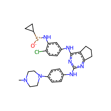 CN1CCN(c2ccc(Nc3nc4c(c(Nc5ccc(Cl)c(N[S+]([O-])C6CC6)c5)n3)CCC4)cc2)CC1